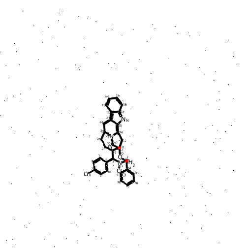 CN(C)C(c1ccc(Cl)cc1)C1CCC2=C3N=c4ccccc4=C3CC(CC1)N2C(=O)COCc1ccccc1